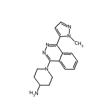 Cn1nccc1-c1nnc(N2CCC(N)CC2)c2ccccc12